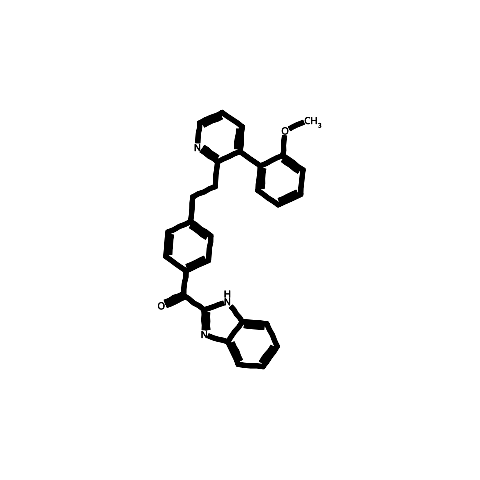 COc1ccccc1-c1cccnc1CCc1ccc(C(=O)c2nc3ccccc3[nH]2)cc1